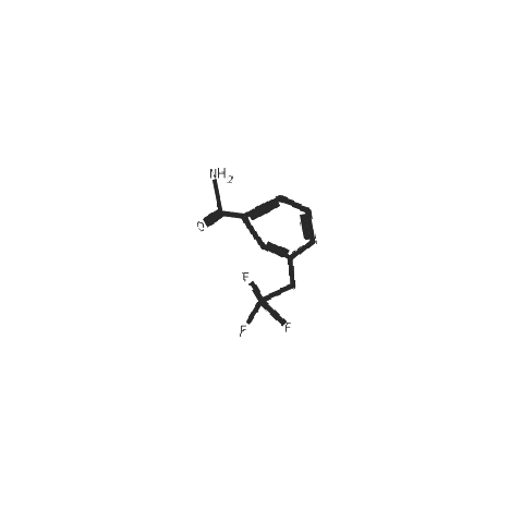 NC(=O)c1cccc(CC(F)(F)F)c1